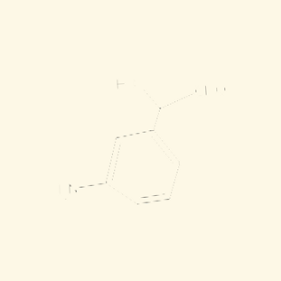 CC([C]=O)c1cccc(N)c1